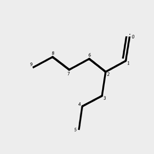 [CH]=CC(CCC)CCCC